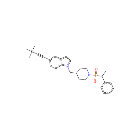 CC(c1ccccc1)S(=O)(=O)N1CCC(Cn2ccc3cc(C#C[Si](C)(C)C)ccc32)CC1